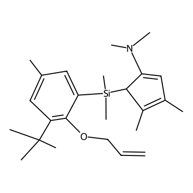 C=CCOc1c(C(C)(C)C)cc(C)cc1[Si](C)(C)C1C(N(C)C)=CC(C)=C1C